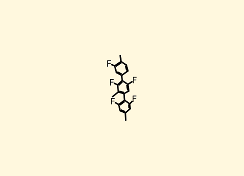 Cc1cc(F)c(-c2cc(F)c(-c3ccc(C)c(F)c3)c(F)c2C)c(F)c1